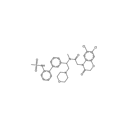 CN(C(=O)CN1C(=O)COc2cc(Cl)c(Cl)cc21)C(CN1CCOCC1)c1cccc(-c2ccccc2NS(C)(=O)=O)c1